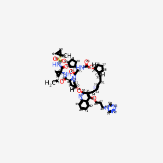 C=C[C@@H]1C[C@]1(NC(=O)[C@@H]1C[C@@H]2CN1C(=O)[C@H](C1CCCC1)NC(=O)O[C@@H]1CCC[C@H]1CC/C=C/Cc1c(nc3ccccc3c1OCCCn1cnnc1)O2)C(=O)NS(=O)(=O)C1(C)CC1